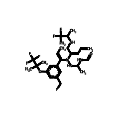 C=C/C=C(\CNC(C)C(F)(F)P)N(NC(C)NC=O)/C(=C\C)c1cc(CF)cc(OC(C)(C)C(F)(F)F)c1